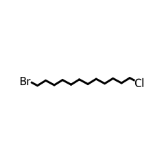 ClCCCCCCCCCCCCBr